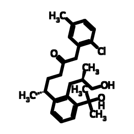 Cc1ccc(Cl)c(CC(=O)CC[C@@H](C)c2cccc(C(C)(C)O)c2C[C@@H](C)CO)c1